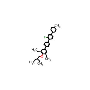 CCc1cc(-c2ccc(-c3ccc(C4CCC(C)CC4)cc3F)cc2)cc(CC)c1OCC(CC)CC